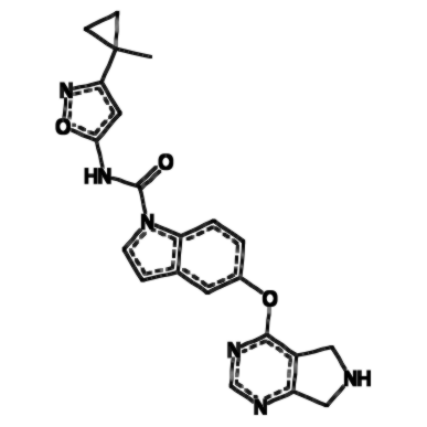 CC1(c2cc(NC(=O)n3ccc4cc(Oc5ncnc6c5CNC6)ccc43)on2)CC1